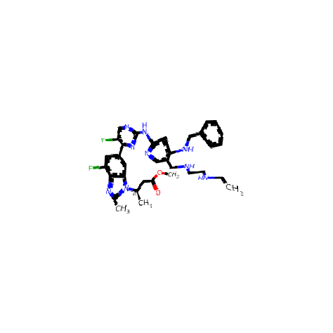 CCNCCNCc1cnc(Nc2ncc(F)c(-c3cc(F)c4nc(C)n([C@H](C)CC(=O)OC)c4c3)n2)cc1NCc1ccccc1